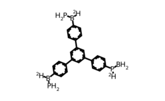 [2H]B(P)c1ccc(-c2cc(-c3ccc(B([2H])P)cc3)cc(-c3ccc(P([2H])B)cc3)c2)cc1